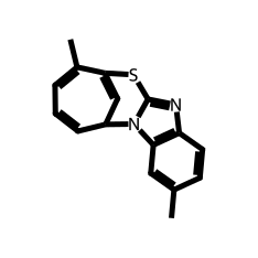 CC1=CC=CC2C=C1Sc1nc3ccc(C)cc3n12